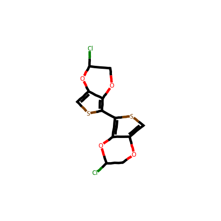 ClC1COc2c(csc2-c2scc3c2OC(Cl)CO3)O1